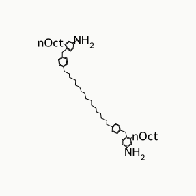 CCCCCCCCc1cc(N)ccc1Cc1ccc(CCCCCCCCCCCCCCCCCc2ccc(Cc3ccc(N)cc3CCCCCCCC)cc2)cc1